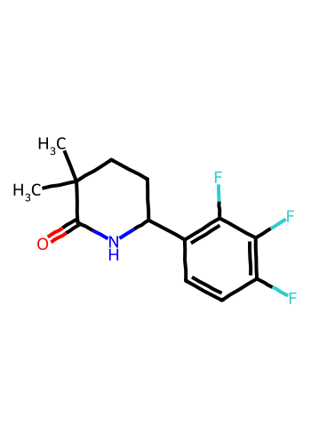 CC1(C)CCC(c2ccc(F)c(F)c2F)NC1=O